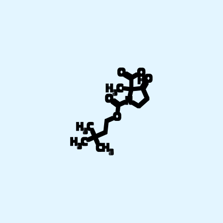 CC(C)(C)CCOC(=O)N1CCC(=O)C1(C)C(=O)O